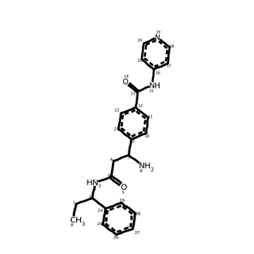 CCC(NC(=O)CC(N)c1ccc(C(=O)Nc2ccncc2)cc1)c1ccccc1